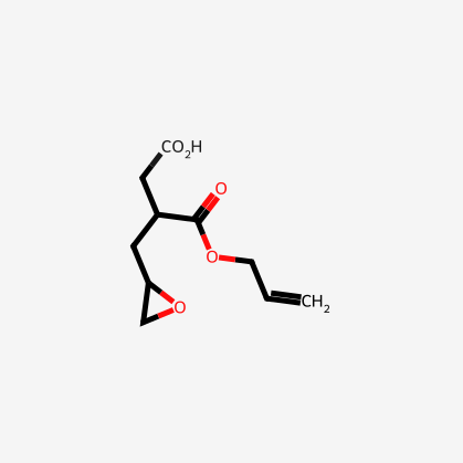 C=CCOC(=O)C(CC(=O)O)CC1CO1